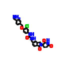 NCc1ccc(COc2ccc(NC(=O)NCc3ccc4c(c3)CN(C3CCC(=O)NC3=O)C4=O)cc2Cl)cc1